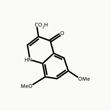 COc1cc(OC)c2[nH]cc(C(=O)O)c(=O)c2c1